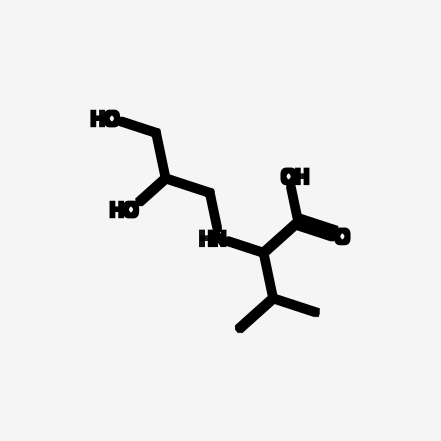 CC(C)C(NCC(O)CO)C(=O)O